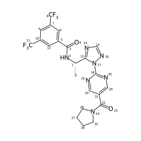 C[C@H](NC(=O)c1cc(C(F)(F)F)cc(C(F)(F)F)c1)c1ncnn1-c1ncc(C(=O)N2CCCC2)cn1